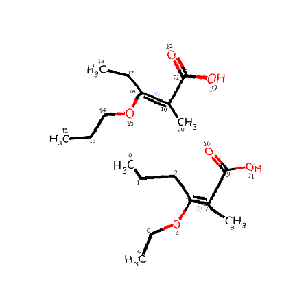 CCC/C(OCC)=C(/C)C(=O)O.CCCO/C(CC)=C(\C)C(=O)O